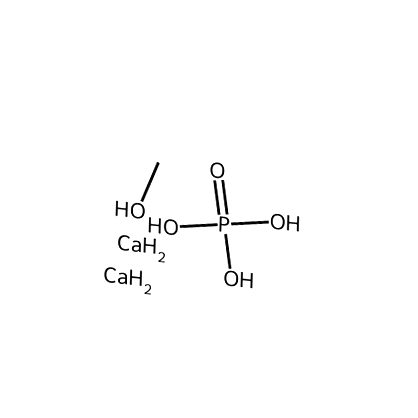 CO.O=P(O)(O)O.[CaH2].[CaH2]